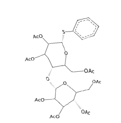 CC(=O)OCC1O[C@@H](O[C@H]2C(COC(C)=O)O[C@@H](Sc3ccccc3)C(OC(C)=O)C2OC(C)=O)C(OC(C)=O)C(OC(C)=O)[C@H]1OC(C)=O